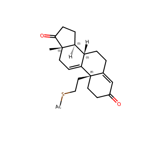 CC(=O)SCC[C@]12CCC(=O)C=C1CC[C@@H]1C2=CC[C@]2(C)C(=O)CC[C@@H]12